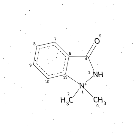 C[N+]1(C)NC(=O)c2ccccc21